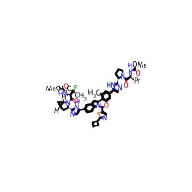 COC(=O)N[C@H](C(=O)N1CCC[C@H]1c1ncc(-c2cc(C)c3c(c2)OC(c2cnc(C4CCC4)s2)n2c-3cc3cc(-c4cnc([C@@H]5C[C@H]6C[C@H]6N5C(=O)[C@@H](NC(=O)OC)C(C)(C)F)[nH]4)ccc32)[nH]1)C(C)C